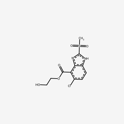 CS(=O)(=O)c1nc2c(C(=O)OCCO)c(Cl)ccc2[nH]1